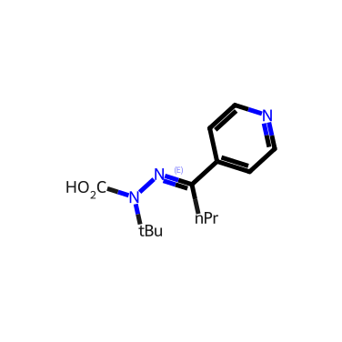 CCC/C(=N\N(C(=O)O)C(C)(C)C)c1ccncc1